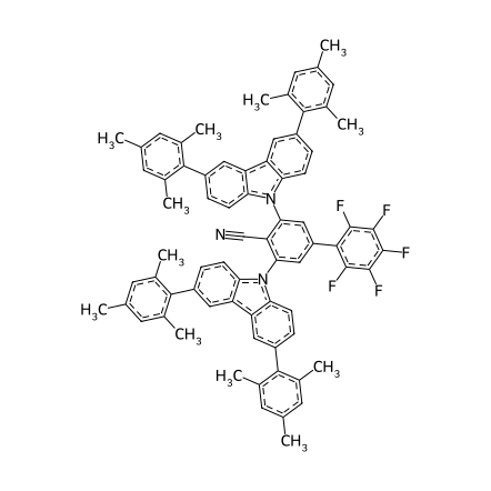 Cc1cc(C)c(-c2ccc3c(c2)c2cc(-c4c(C)cc(C)cc4C)ccc2n3-c2cc(-c3c(F)c(F)c(F)c(F)c3F)cc(-n3c4ccc(-c5c(C)cc(C)cc5C)cc4c4cc(-c5c(C)cc(C)cc5C)ccc43)c2C#N)c(C)c1